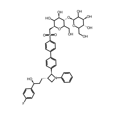 O=S(=O)(C[C@@H]1OC(CO)[C@@H](O[C@@H]2OC(CO)[C@@H](O)[C@H](O)C2O)[C@H](O)C1O)c1ccc(-c2ccc([C@@H]3[C@@H](CC[C@H](O)c4ccc(F)cc4)CN3c3ccccc3)cc2)cc1